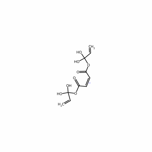 C=CC(O)(O)OC(=O)/C=C\C(=O)OC(O)(O)C=C